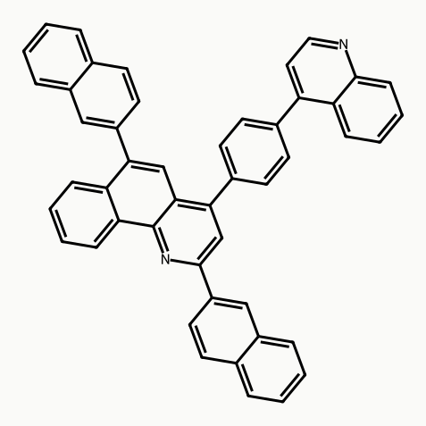 c1ccc2cc(-c3cc(-c4ccc(-c5ccnc6ccccc56)cc4)c4cc(-c5ccc6ccccc6c5)c5ccccc5c4n3)ccc2c1